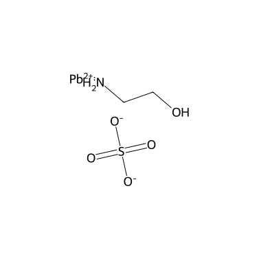 NCCO.O=S(=O)([O-])[O-].[Pb+2]